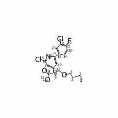 CCCCOCC(C)(C(=O)OC)c1cc(Cl)nc(-c2ccc(F)c(Cl)c2)c1